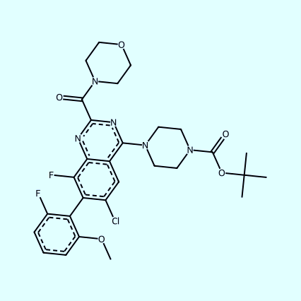 COc1cccc(F)c1-c1c(Cl)cc2c(N3CCN(C(=O)OC(C)(C)C)CC3)nc(C(=O)N3CCOCC3)nc2c1F